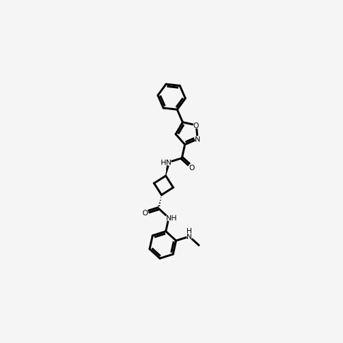 CNc1ccccc1NC(=O)[C@H]1C[C@H](NC(=O)c2cc(-c3ccccc3)on2)C1